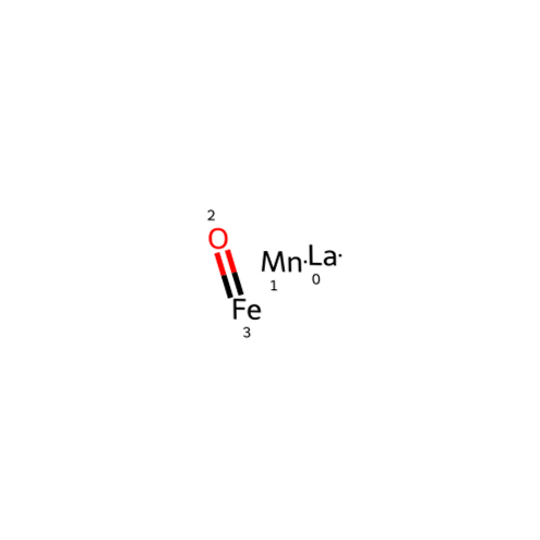 [La].[Mn].[O]=[Fe]